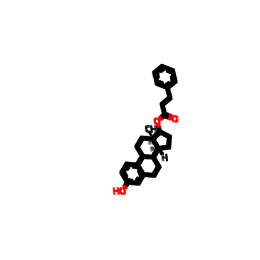 C[C@@]12CCC3c4ccc(O)cc4CCC3[C@H]1CCC2OC(=O)CCc1ccccc1